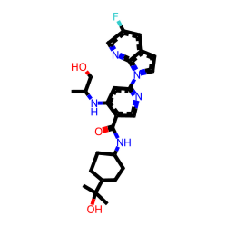 CC(CO)Nc1cc(-n2ccc3cc(F)cnc32)ncc1C(=O)NC1CCC(C(C)(C)O)CC1